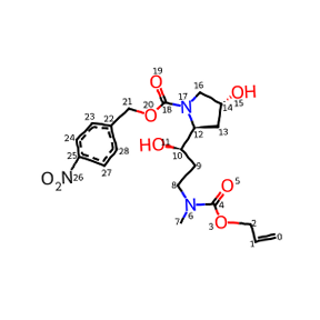 C=CCOC(=O)N(C)CC[C@@H](O)[C@@H]1C[C@@H](O)CN1C(=O)OCc1ccc([N+](=O)[O-])cc1